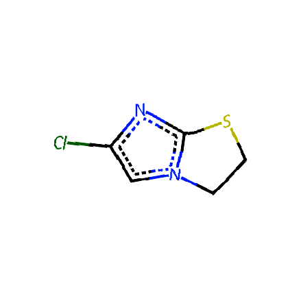 Clc1cn2c(n1)SCC2